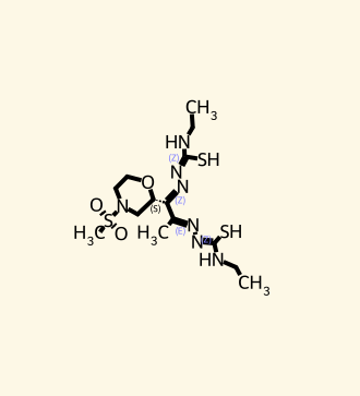 CCN/C(S)=N/N=C(/C(C)=N/N=C(\S)NCC)[C@@H]1CN(S(C)(=O)=O)CCO1